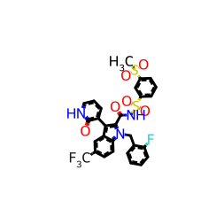 CS(=O)(=O)c1cccc(S(=O)(=O)NC(=O)c2c(-c3ccc[nH]c3=O)c3cc(C(F)(F)F)ccc3n2Cc2ccccc2F)c1